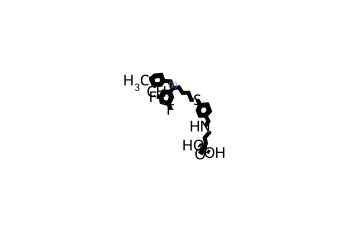 Cc1ccc(/C=C(/CCCCSc2ccc(CNCCCP(=O)(O)O)cc2)c2cc(F)cc(F)c2)cc1C